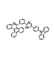 c1cc(-c2ncc(-c3ccc(-n4c5ccccc5c5ccccc54)cc3)cn2)cc(-c2nc3ccccc3c3c4ccccc4c4ccccc4c23)c1